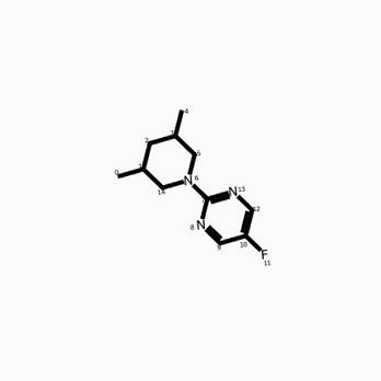 CC1CC(C)CN(c2ncc(F)cn2)C1